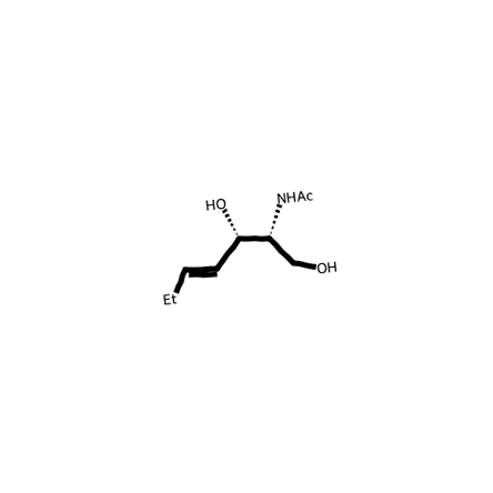 CC/C=C/[C@H](O)[C@@H](CO)NC(C)=O